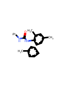 Cc1ccc(NC(=O)NC(C)C)c(C)c1.Cc1ccccc1